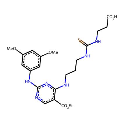 CCOC(=O)c1cnc(Nc2cc(OC)cc(OC)c2)nc1NCCCNC(=S)NCCC(=O)O